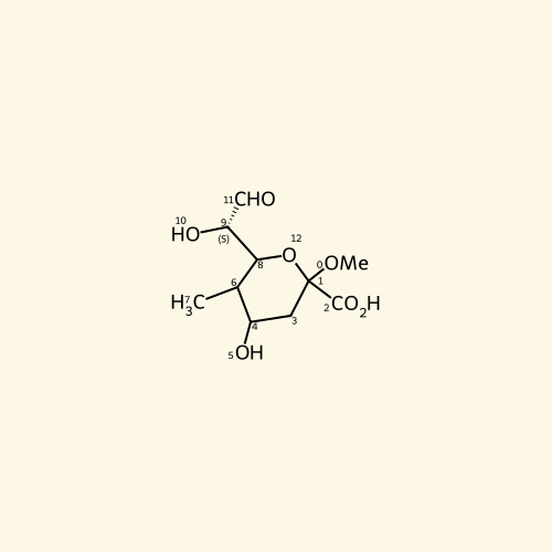 COC1(C(=O)O)CC(O)C(C)C([C@H](O)C=O)O1